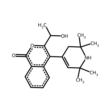 CC(O)c1oc(=O)c2ccccc2c1C1=CC(C)(C)NC(C)(C)C1